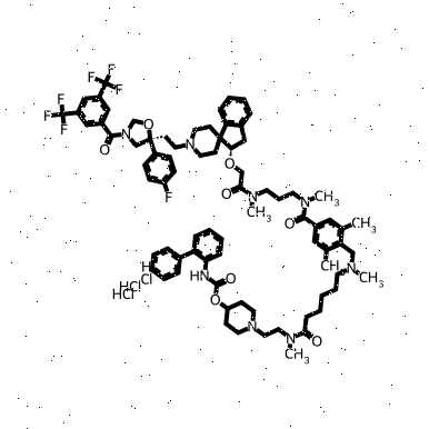 Cc1cc(C(=O)N(C)CCCN(C)C(=O)CO[C@H]2Cc3ccccc3C23CCN(CC[C@]2(c4ccc(F)cc4)CN(C(=O)c4cc(C(F)(F)F)cc(C(F)(F)F)c4)CO2)CC3)cc(C)c1CN(C)CCCCCC(=O)N(C)CCN1CCC(OC(=O)Nc2ccccc2-c2ccccc2)CC1.Cl.Cl.Cl